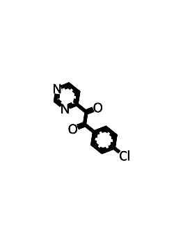 O=C(C(=O)c1ccncn1)c1ccc(Cl)cc1